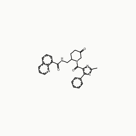 Cc1nc(C(=O)N2CC(=O)CCC2CNC(=O)c2cccc3cccnc23)c(-c2ccccc2)s1